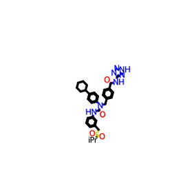 CC(C)S(=O)(=O)Cc1cccc(NC(=O)N(Cc2ccc(C(=O)Nc3nn[nH]n3)cc2)c2ccc(C3CCCCC3)cc2)c1